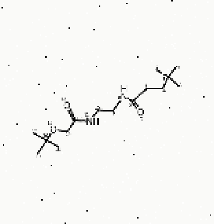 CC(C)(C)CCC(=O)NCCNC(=O)COC(C)(C)C